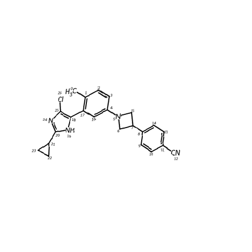 Cc1ccc(N2CC(c3ccc(C#N)cc3)C2)cc1-c1[nH]c(C2CC2)nc1Cl